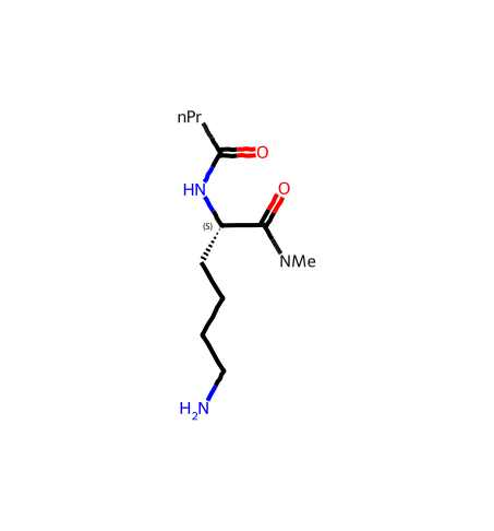 CCCC(=O)N[C@@H](CCCCN)C(=O)NC